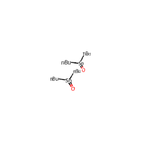 CCC[CH2][Sn](=[O])[CH2]CCC.CCC[CH2][Sn](=[O])[CH2]CCC